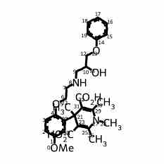 COc1ccc(OCCNCC(O)COc2ccccc2)c(C2(C)C(C(=O)O)=C(C)N(C)C(C)=C2C(=O)O)c1